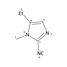 [C-]#[N+]c1ncc(CC)n1C